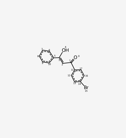 O=C(C=C(O)c1ccccc1)c1ccc(Br)cc1